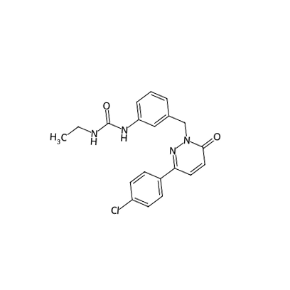 CCNC(=O)Nc1cccc(Cn2nc(-c3ccc(Cl)cc3)ccc2=O)c1